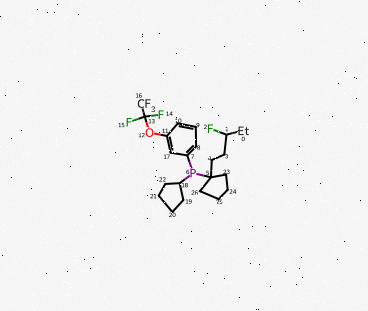 CCC(F)CCC1(P(c2cccc(OC(F)(F)C(F)(F)F)c2)C2CCCC2)CCCC1